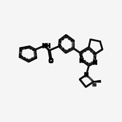 C[C@H]1CCN1c1nc2c(c(-c3cccc(C(=O)Nc4ccccc4)c3)n1)CCC2